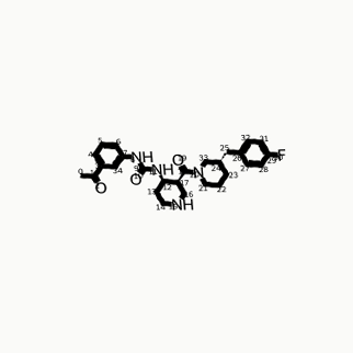 CC(=O)c1cccc(NC(=O)N[C@@H]2CCNC[C@@H]2C(=O)N2CCC[C@@H](Cc3ccc(F)cc3)C2)c1